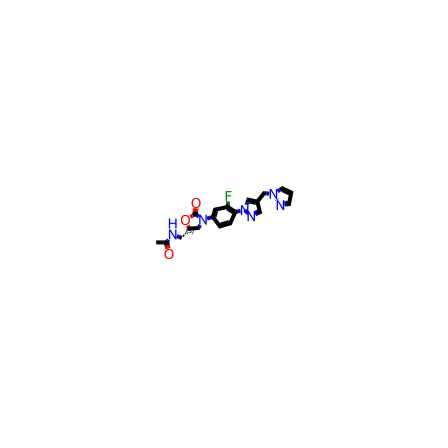 CC(=O)NC[C@H]1CN(c2ccc(-n3cc(Cn4cccn4)cn3)c(F)c2)C(=O)O1